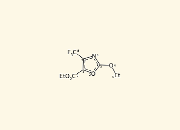 CCOC(=O)c1oc(OCC)nc1C(F)(F)F